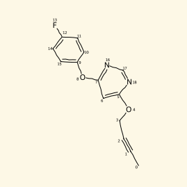 CC#CCOc1cc(Oc2ccc(F)cc2)ncn1